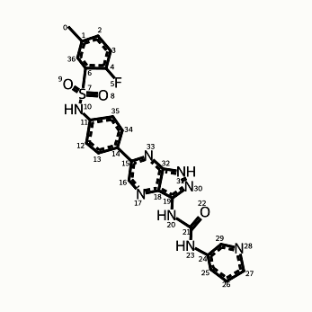 Cc1ccc(F)c(S(=O)(=O)Nc2ccc(-c3cnc4c(NC(=O)Nc5cccnc5)n[nH]c4n3)cc2)c1